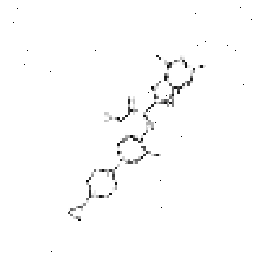 Cc1cn2nc(/C(=N/c3ccc(N4CCN(C5CC5)CC4)cc3C)NC=O)cc2c(C)n1